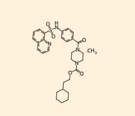 C[C@@H]1CN(C(=O)OCCC2CCCCC2)CCN1C(=O)c1ccc(NS(=O)(=O)c2cccc3cccnc23)cc1